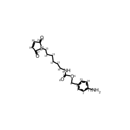 Nc1ccc(COC(=O)NCCCCCCN2C(=O)C=CC2=O)cc1